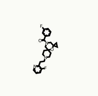 O=C(c1cccc(F)c1)N1CC2(CCN(CCc3ncccc3F)CC2)OC2(CC2)C1